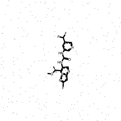 CO[C@@H](C)c1c(NC(=O)Nc2cncc(C(F)F)c2)cnc2cc(F)nn12